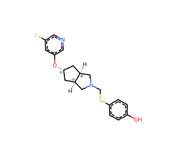 Oc1ccc(SCN2C[C@H]3C[C@H](Oc4cncc(F)c4)C[C@H]3C2)cc1